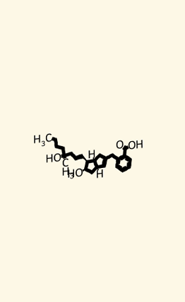 CCCCC(C)(O)C/C=C/[C@H]1[C@H]2CC(Cc3ccccc3C(=O)O)=C[C@H]2C[C@H]1O